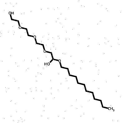 CCCCCCCCCCCCOC(O)COCCOCCOCCO